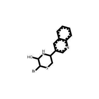 OC1NC(c2cnc3ccccc3c2)CSC1Br